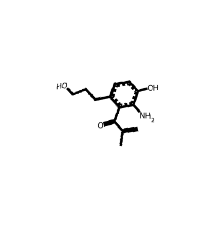 C=C(C)C(=O)c1c(CCCO)ccc(O)c1N